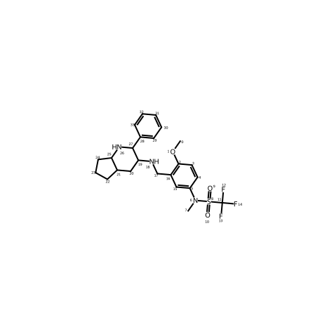 COc1ccc(N(C)S(=O)(=O)C(F)(F)F)cc1CNC1CC2CCCC2NC1c1ccccc1